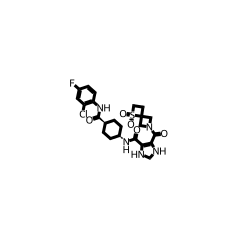 O=C(N[C@H]1CC[C@H](C(=O)Nc2ccc(F)cc2Cl)CC1)C1=C(C(=O)N2CC3(CCS3(=O)=O)C2)NCN1